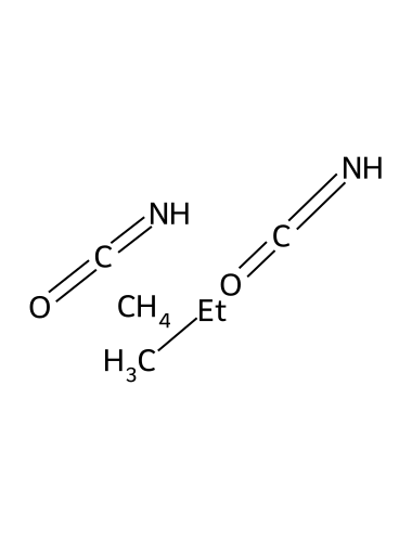 C.CCC.N=C=O.N=C=O